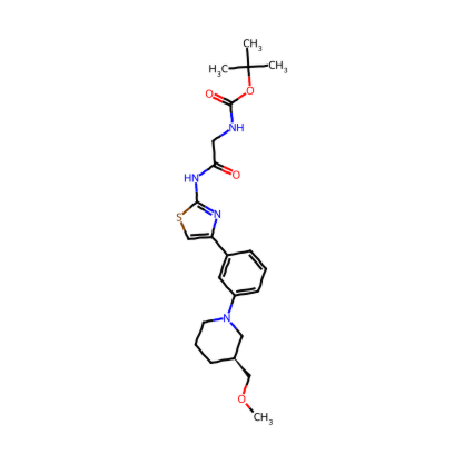 COC[C@H]1CCCN(c2cccc(-c3csc(NC(=O)CNC(=O)OC(C)(C)C)n3)c2)C1